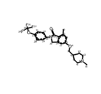 Cc1cc(OCC2CCN(C)CC2)cc2c1C(=O)N(c1ccc(OC(F)(F)F)cc1)C2